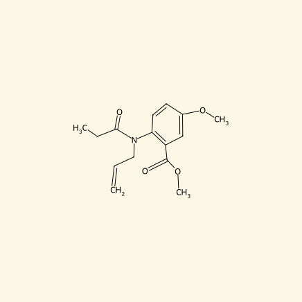 C=CCN(C(=O)CC)c1ccc(OC)cc1C(=O)OC